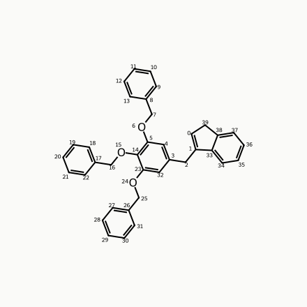 C1=C(Cc2cc(OCc3ccccc3)c(OCc3ccccc3)c(OCc3ccccc3)c2)c2ccccc2C1